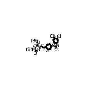 CCc1nc2cc(Cl)c(Cl)cc2n1-c1ccc(CCN(OC(=O)OC(C)(C)C)C(=O)OC(C)(C)C)cc1